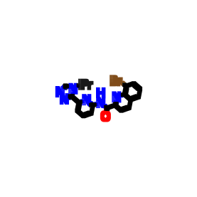 CC(C)n1cnnc1-c1cccc(NC(=O)c2ccc3cccc(Br)c3n2)n1